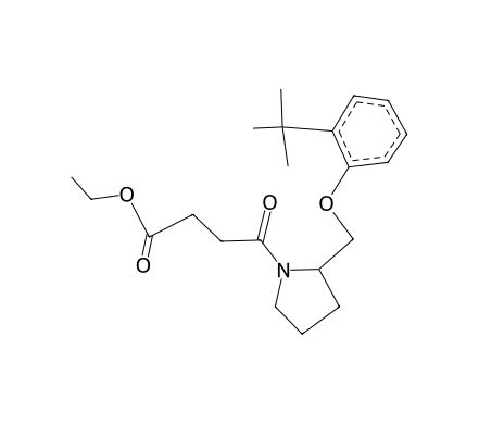 CCOC(=O)CCC(=O)N1CCCC1COc1ccccc1C(C)(C)C